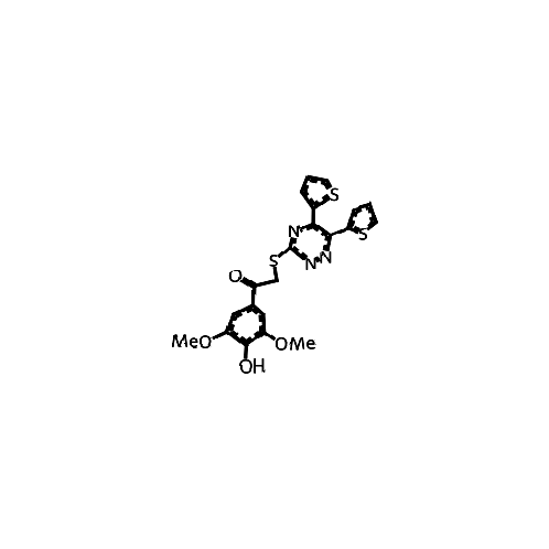 COc1cc(C(=O)CSc2nnc(-c3cccs3)c(-c3cccs3)n2)cc(OC)c1O